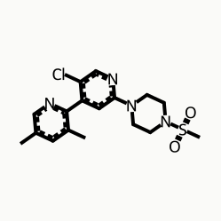 Cc1cnc(-c2cc(N3CCN(S(C)(=O)=O)CC3)ncc2Cl)c(C)c1